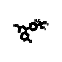 CC(C)(C)c1ccc(C(=CC(=O)O)c2ccnc(Cl)c2)cc1